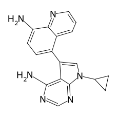 Nc1ccc(-c2cn(C3CC3)c3ncnc(N)c23)c2cccnc12